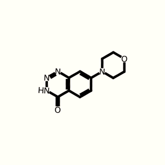 O=c1[nH]nnc2cc(N3CCOCC3)ccc12